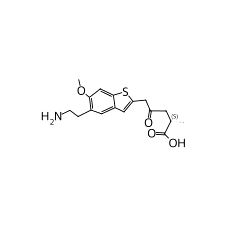 COc1cc2sc(CC(=O)C[C@H](C)C(=O)O)cc2cc1CCN